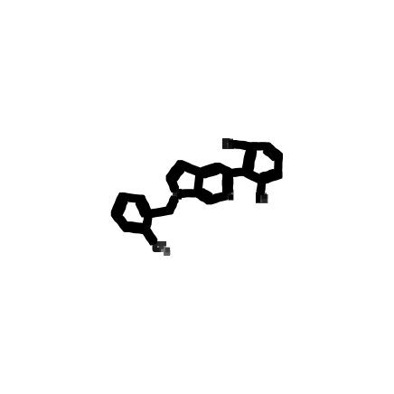 CCc1cccc(CC)c1-c1cc2ccn(Cc3ccccc3C(F)(F)F)c2cn1